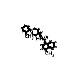 Cc1ccccc1N1CCC2(CC1)CC2NC(=O)c1ccc(C)c2ccccc12